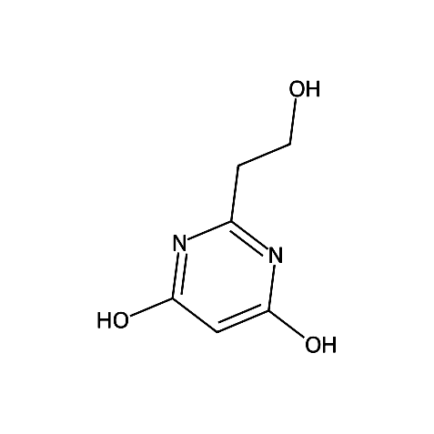 OCCc1nc(O)cc(O)n1